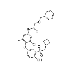 Cc1cc(NC(=O)COCc2ccccc2)cc(Cl)c1Oc1ccc(O)c(S(=O)(=O)CC2CCC2)c1